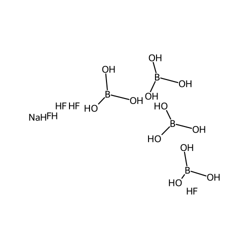 F.F.F.F.OB(O)O.OB(O)O.OB(O)O.OB(O)O.[NaH]